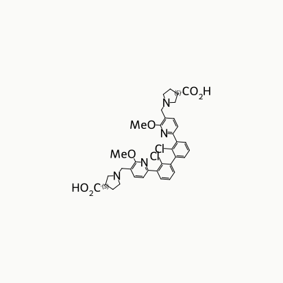 COc1nc(-c2cccc(-c3cccc(-c4ccc(CN5CC[C@H](C(=O)O)C5)c(OC)n4)c3Cl)c2Cl)ccc1CN1CC[C@H](C(=O)O)C1